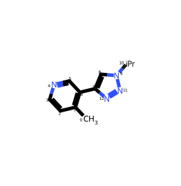 Cc1ccncc1-c1cn(C(C)C)nn1